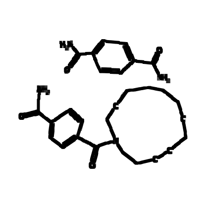 NC(=O)c1ccc(C(=O)N2CCCCCCCCCCCC2)cc1.NC(=O)c1ccc(C(N)=O)cc1